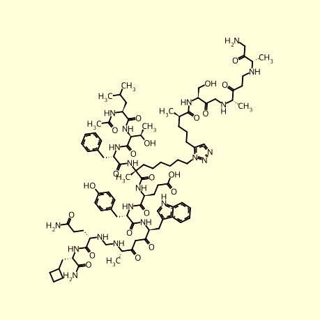 CC(=O)N[C@@H](CC(C)C)C(=O)N[C@H](C(=O)N[C@@H](Cc1ccccc1)C(=O)N[C@](C)(CCCCCCn1nncc1CCC[C@@H](C)C(=O)N[C@@H](CO)C(=O)CN[C@@H](C)C(=O)CCN[C@@H](C)C(=O)CN)C(=O)N[C@@H](CCC(=O)O)C(=O)N[C@@H](Cc1ccc(O)cc1)C(=O)N[C@@H](Cc1c[nH]c2ccccc12)C(=O)CC(=O)[C@H](C)NCN[C@@H](CCC(N)=O)C(=O)N[C@@H](CC1CCC1)C(N)=O)[C@@H](C)O